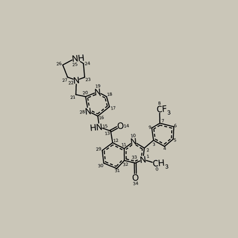 Cn1c(-c2cccc(C(F)(F)F)c2)nc2c(C(=O)Nc3ccnc(CN4CCNCC4)n3)cccc2c1=O